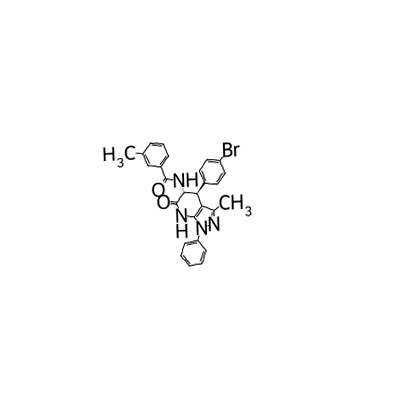 Cc1cccc(C(=O)N[C@H]2C(=O)Nc3c(c(C)nn3-c3ccccc3)[C@@H]2c2ccc(Br)cc2)c1